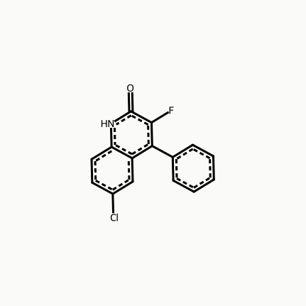 O=c1[nH]c2ccc(Cl)cc2c(-c2ccccc2)c1F